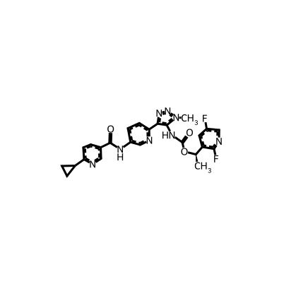 C[C@@H](OC(=O)Nc1c(-c2ccc(NC(=O)c3ccc(C4CC4)nc3)cn2)nnn1C)c1cc(F)cnc1F